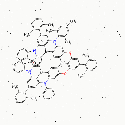 Cc1cc(C)c(N2c3cc4c(cc3B3c5c2cc(-c2c(C)cccc2C)cc5-n2c5ccccc5c5cccc3c52)B2c3cc5c(cc3Oc3cc(-c6c(C)cccc6C)cc(c32)O4)N(c2ccccc2)c2cc(-c3c(C)cccc3C)cc3c2B5c2cccc4c5ccccc5n-3c24)c(C)c1